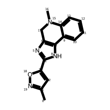 Cc1cc(-c2nc3c([nH]2)-c2ccccc2N(C)C3)on1